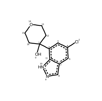 OC1(c2cc(Cl)cc3cn[nH]c23)CCOCC1